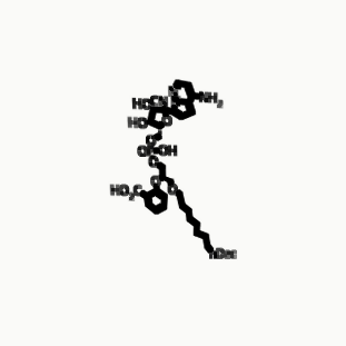 CCCCCCCCCCCCCCCCCCOC[C@H](COP(=O)(O)OC[C@H]1O[C@@](C#N)(c2ccc3c(N)ccnn23)[C@H](O)[C@@H]1O)Oc1ccccc1C(=O)O